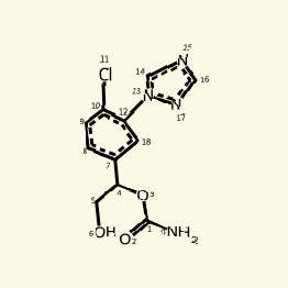 NC(=O)OC(CO)c1ccc(Cl)c(-n2cncn2)c1